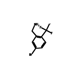 [CH2]C(F)(F)c1ccc(Br)cc1CN